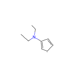 CCN(CC)C1=C[CH]C=C1